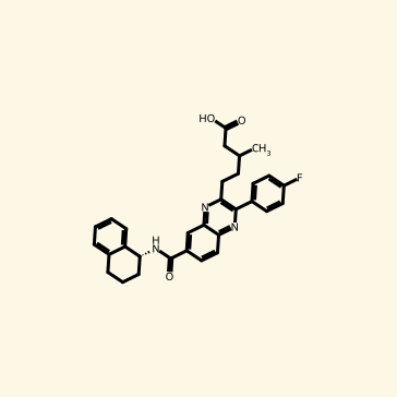 CC(CCc1nc2cc(C(=O)N[C@@H]3CCCc4ccccc43)ccc2nc1-c1ccc(F)cc1)CC(=O)O